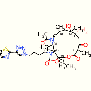 B[C@@H]1CC(=O)[C@@H](C)C(=O)O[C@H](CC)[C@@]2(C)OC(=O)N(CCCCn3cc(-c4nccs4)nn3)[C@@H]2[C@@H](C)N(C(C)=O)C[C@H](C)C[C@]1(C)O